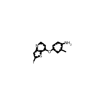 Cc1cc(Oc2ccnc3cc(I)sc23)ccc1N